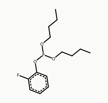 CCCCOP(OCCCC)Oc1ccccc1F